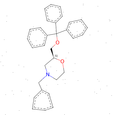 c1ccc(CN2CCO[C@H](COC(c3ccccc3)(c3ccccc3)c3ccccc3)C2)cc1